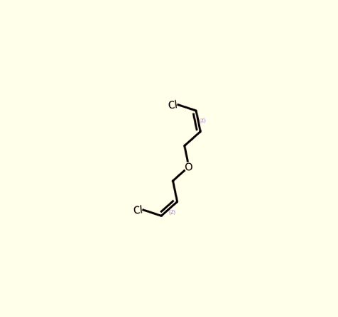 Cl/C=C\COC/C=C\Cl